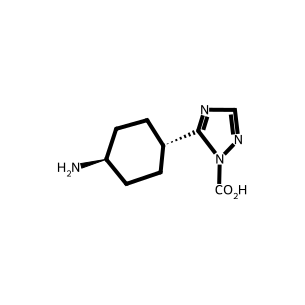 N[C@H]1CC[C@H](c2ncnn2C(=O)O)CC1